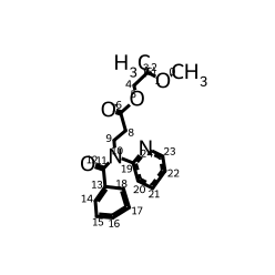 CO[C@@H](C)COC(=O)CCN(C(=O)C1=CC=C=C=C1)c1ccccn1